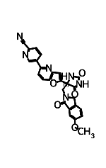 COc1ccc2c(c1)C(=O)N(C[C@@]1(c3cc4nc(-c5ccc(C#N)nc5)ccc4o3)NC(=O)NC1=O)C2